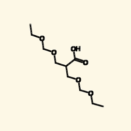 CCOCOCC(COCOCC)C(=O)O